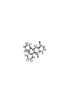 Ic1cccc2c(I)c(-c3ccccc3)c(-c3ccccc3)cc12